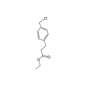 CCOC(=O)CCc1ccc(CCl)cc1